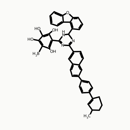 Bc1c(O)c(O)c(O)c(C2=NC(c3ccc4cc(-c5ccc(C6=CC(C)CCC6)cc5)ccc4c3)=NC(c3cccc4oc5ccccc5c34)N2)c1O